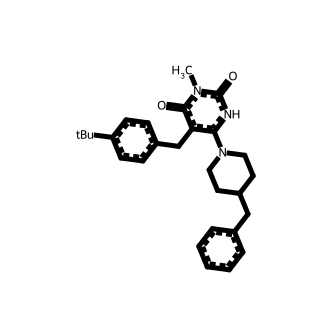 Cn1c(=O)[nH]c(N2CCC(Cc3ccccc3)CC2)c(Cc2ccc(C(C)(C)C)cc2)c1=O